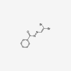 O=C(N=NC=C(Br)Br)c1ccccc1